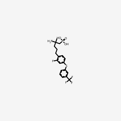 CC(N)(CCCc1ccc(Sc2cccc(C(F)(F)F)c2)cc1F)CP(=O)(O)O